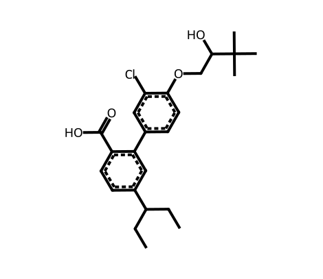 CCC(CC)c1ccc(C(=O)O)c(-c2ccc(OCC(O)C(C)(C)C)c(Cl)c2)c1